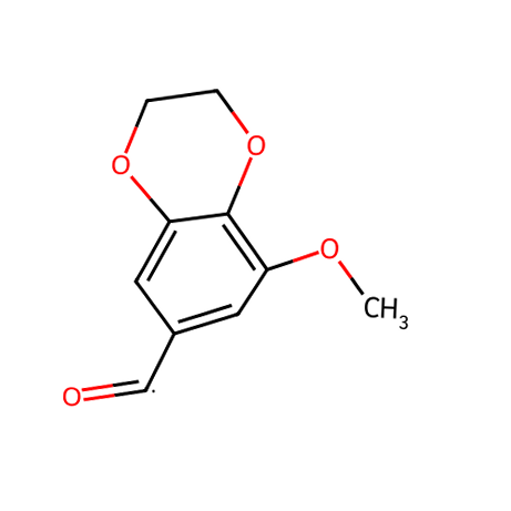 COc1cc([C]=O)cc2c1OCCO2